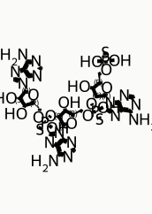 Nc1ncnc2c1ncn2[C@@H]1O[C@H](COP(O)(=S)O[C@H]2C(O)[C@@H](COP(O)(=S)O[C@H]3C(O)[C@@H](COP(O)(O)=S)O[C@H]3n3cnc4c(N)ncnc43)O[C@H]2n2cnc3c(N)ncnc32)C(O)[C@@H]1O